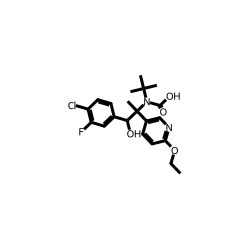 CCOc1ccc(C(C)(C(O)c2ccc(Cl)c(F)c2)N(C(=O)O)C(C)(C)C)cn1